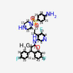 C[C@H](C(=O)Nc1cncc(F)c1CC[C@@H]1CNCCN1S(=O)(=O)c1ccc(N)cc1)C(c1ccc(F)cc1)c1ccc(F)cc1